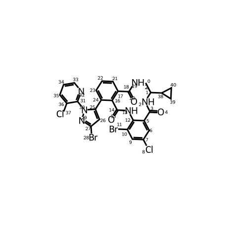 CC(NC(=O)c1cc(Cl)cc(Br)c1NC(=O)c1c(C(N)=O)cccc1-c1cc(Br)nn1-c1ncccc1Cl)C1CC1